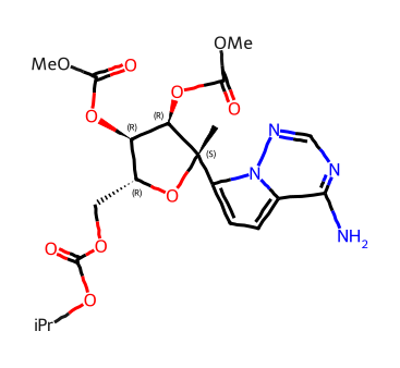 COC(=O)O[C@H]1[C@@H](OC(=O)OC)[C@](C)(c2ccc3c(N)ncnn23)O[C@@H]1COC(=O)OC(C)C